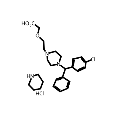 C1CCNCC1.Cl.O=C(O)COCCN1CCN(C(c2ccccc2)c2ccc(Cl)cc2)CC1